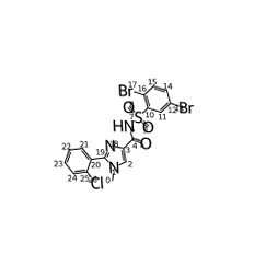 Cn1cc(C(=O)NS(=O)(=O)c2cc(Br)ccc2Br)nc1-c1ccccc1Cl